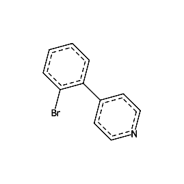 Brc1ccccc1-c1ccncc1